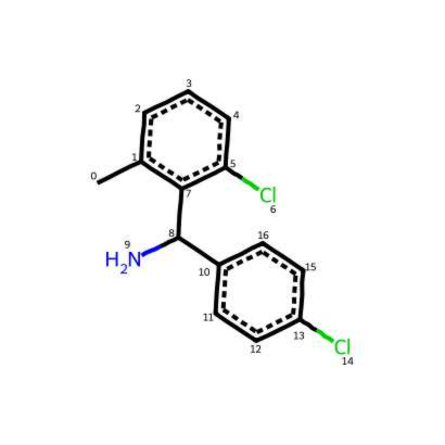 Cc1cccc(Cl)c1C(N)c1ccc(Cl)cc1